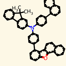 CC1(C)c2ccccc2-c2ccc(N(c3ccc(-c4cccc5ccccc45)cc3)c3ccc(-c4cccc5oc6c7ccccc7ccc6c45)cc3)cc21